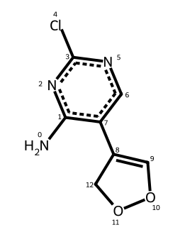 Nc1nc(Cl)ncc1C1=COOC1